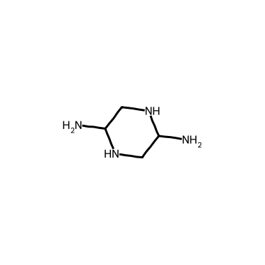 NC1CNC(N)CN1